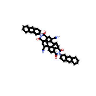 N#Cc1cc2c3c(cc(C#N)c4c5ccc6c7c(ccc(c1c34)c75)C(=O)N(c1ccc3cc4ccccc4cc3c1)C6=O)C(=O)N(c1ccc3cc4ccccc4cc3c1)C2=O